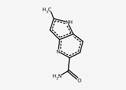 Cc1cc2nc(C(N)=O)ccc2[nH]1